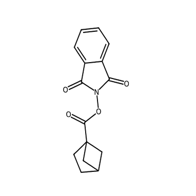 O=C1c2ccccc2C(=O)N1OC(=O)C12CCC(C1)C2